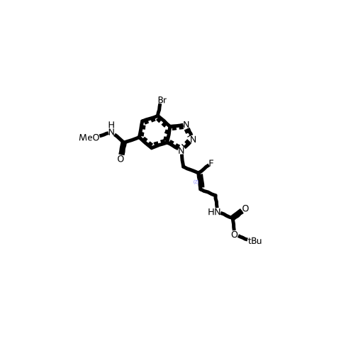 CONC(=O)c1cc(Br)c2nnn(C/C(F)=C/CNC(=O)OC(C)(C)C)c2c1